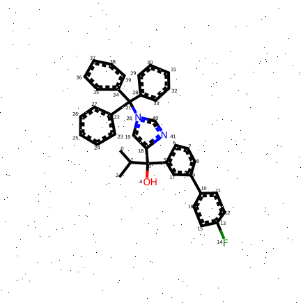 CC(C)C(O)(c1cccc(-c2ccc(F)cc2)c1)c1cn(C(c2ccccc2)(c2ccccc2)c2ccccc2)cn1